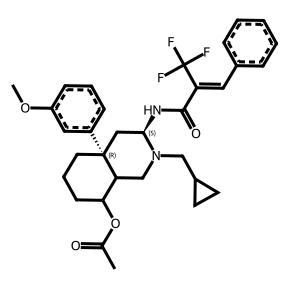 COc1cccc([C@@]23CCCC(OC(C)=O)C2CN(CC2CC2)[C@H](NC(=O)C(=Cc2ccccc2)C(F)(F)F)C3)c1